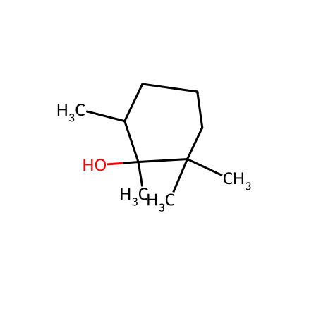 CC1CCCC(C)(C)C1(C)O